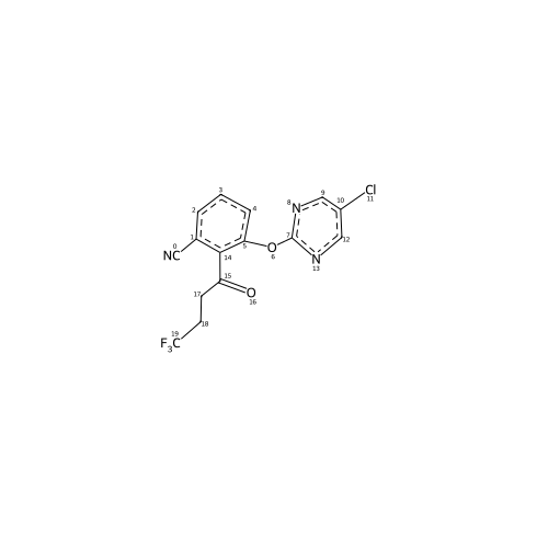 N#Cc1cccc(Oc2ncc(Cl)cn2)c1C(=O)CCC(F)(F)F